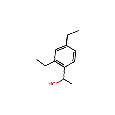 CCc1ccc(C(C)O)c(CC)c1